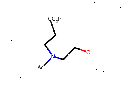 CC(=O)N(CC[O])CCC(=O)O